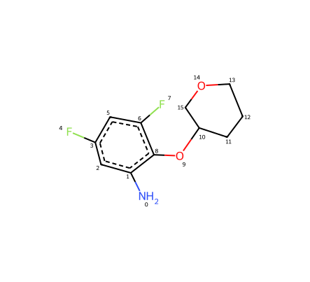 Nc1cc(F)cc(F)c1OC1CCCOC1